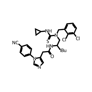 CCC(C)C(CN(Cc1cccc(Cl)c1Cl)C(=S)NC1CC1)NC(=O)Cc1cncn1-c1ccc(C#N)cc1